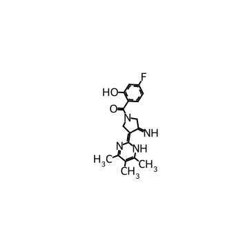 CC1=N/C(=C2\CN(C(=O)c3ccc(F)cc3O)CC2=N)NC(C)=C1C